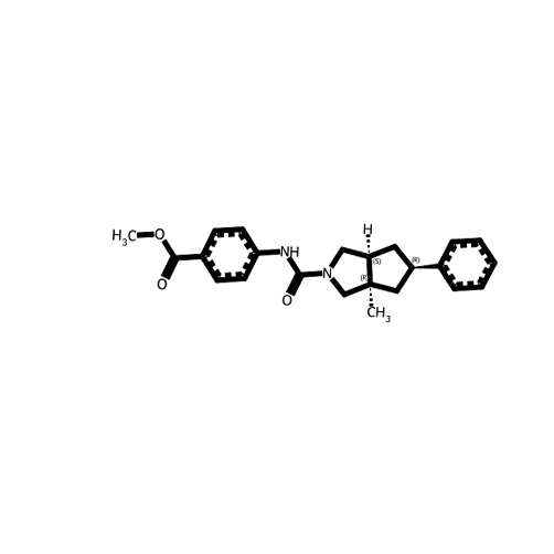 COC(=O)c1ccc(NC(=O)N2C[C@H]3C[C@@H](c4ccccc4)C[C@@]3(C)C2)cc1